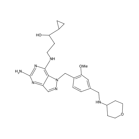 COc1cc(CNC2CCOCC2)ccc1Cn1ncc2nc(N)nc(NCCC(O)C3CC3)c21